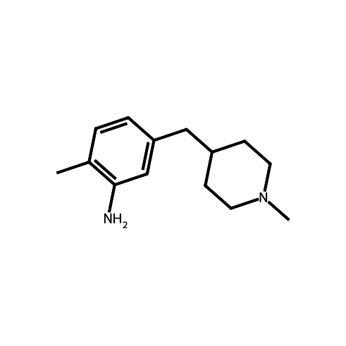 Cc1ccc(CC2CCN(C)CC2)cc1N